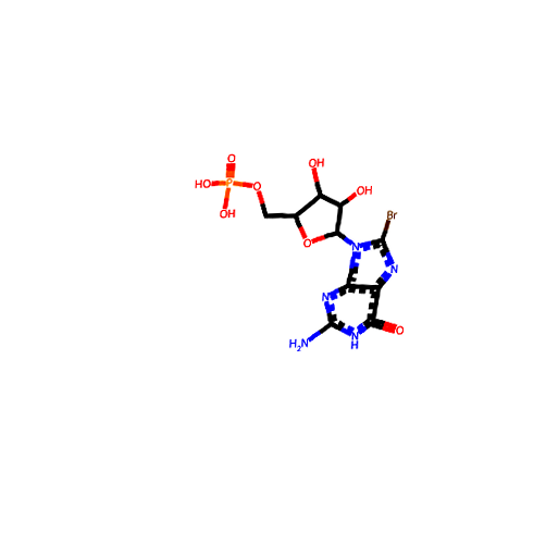 Nc1nc2c(nc(Br)n2C2OC(COP(=O)(O)O)C(O)C2O)c(=O)[nH]1